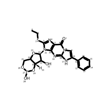 CCSc1nc2c(=O)n3cc(-c4ccccc4)[nH]c3nc2n1[C@@H]1OC2COP(O)O[C@H]2C1O